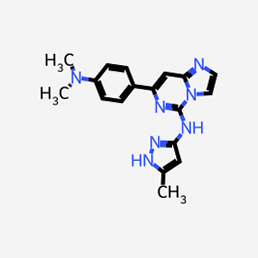 Cc1cc(Nc2nc(-c3ccc(N(C)C)cc3)cc3nccn23)n[nH]1